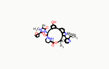 CCn1c(-c2cccnc2[C@H](C)OC)c2c3cc(ccc31)-c1cc(O)cc(c1)C[C@H](NC(=O)C(C(C)C)N(C)C(=O)C13CC(CO1)C3)C(=O)N1CCC[C@H](N1)C(=O)OCC(C)(C)C2